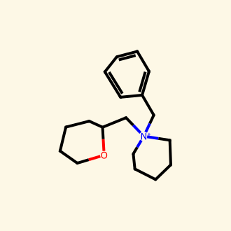 c1ccc(C[N+]2(CC3CCCCO3)CCCCC2)cc1